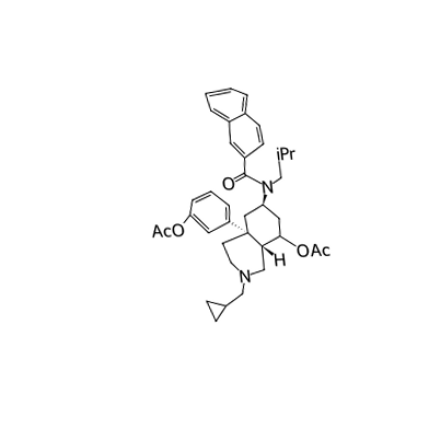 CC(=O)Oc1cccc([C@@]23CCN(CC4CC4)C[C@H]2C(OC(C)=O)C[C@H](N(CC(C)C)C(=O)c2ccc4ccccc4c2)C3)c1